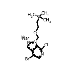 C[Si](C)(C)CCOCn1ncc2c(Br)cnc(Cl)c21.[H-].[Na+]